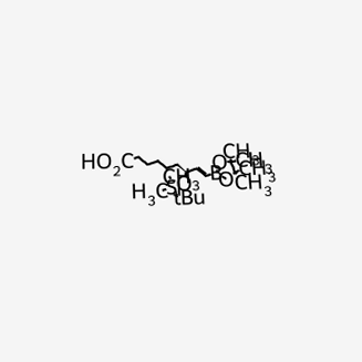 CC1(C)OB(/C=C/[C@H](CCCCCC(=O)O)O[Si](C)(C)C(C)(C)C)OC1(C)C